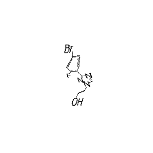 OCCn1cnc(-c2ccc(Br)cc2F)n1